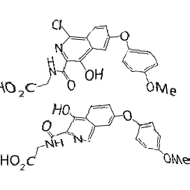 COc1ccc(Oc2ccc3c(Cl)nc(C(=O)NCC(=O)O)c(O)c3c2)cc1.COc1ccc(Oc2ccc3c(O)c(C(=O)NCC(=O)O)ncc3c2)cc1